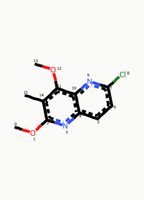 COc1nc2ccc(Cl)nc2c(OC)c1C